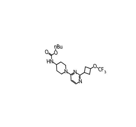 CCCCOC(=O)NC1CCN(c2ccnc(C3CC(OC(F)(F)F)C3)n2)CC1